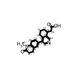 CN1C(=O)CCc2cc(-c3cncc4c3CCCC4CC(=O)O)ccc21